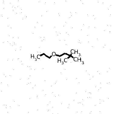 CCCOCCC(C)(C)C